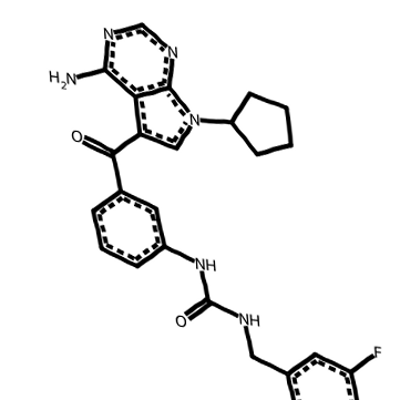 Nc1ncnc2c1c(C(=O)c1cccc(NC(=O)NCc3cccc(F)c3)c1)cn2C1CCCC1